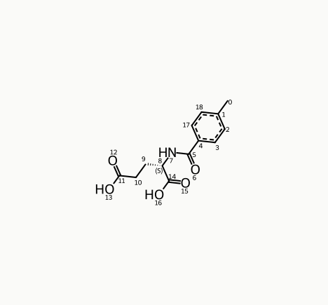 Cc1ccc(C(=O)N[C@@H](CCC(=O)O)C(=O)O)cc1